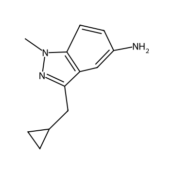 Cn1nc(CC2CC2)c2cc(N)ccc21